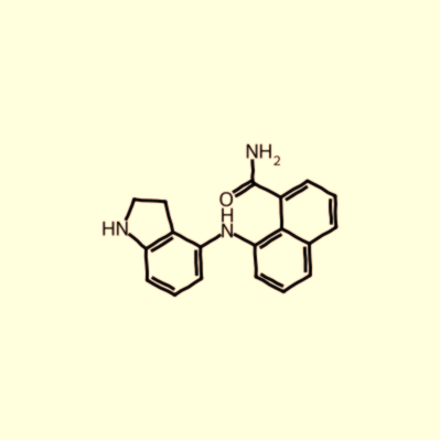 NC(=O)c1cccc2cccc(Nc3cccc4c3CCN4)c12